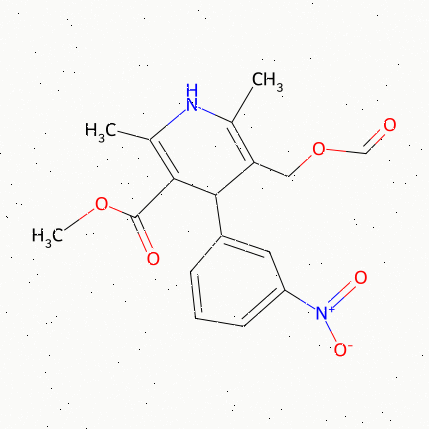 COC(=O)C1=C(C)NC(C)=C(COC=O)C1c1cccc([N+](=O)[O-])c1